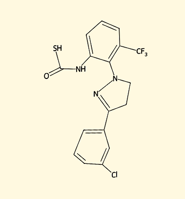 O=C(S)Nc1cccc(C(F)(F)F)c1N1CCC(c2cccc(Cl)c2)=N1